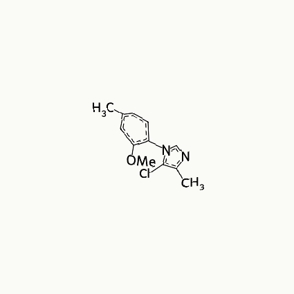 COc1cc(C)ccc1-n1cnc(C)c1Cl